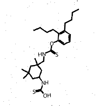 CCCCc1cccc(OC(=S)NCC2(C)CC(NC(O)=S)CC(C)(C)C2)c1CCCC